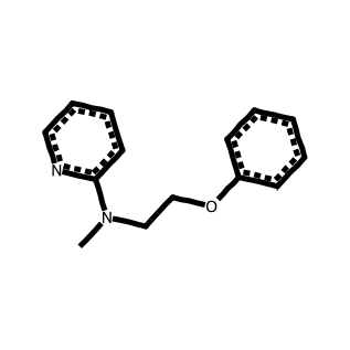 CN(CCOc1[c]cccc1)c1ccccn1